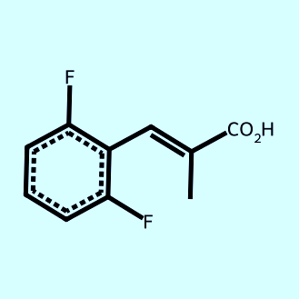 CC(=Cc1c(F)cccc1F)C(=O)O